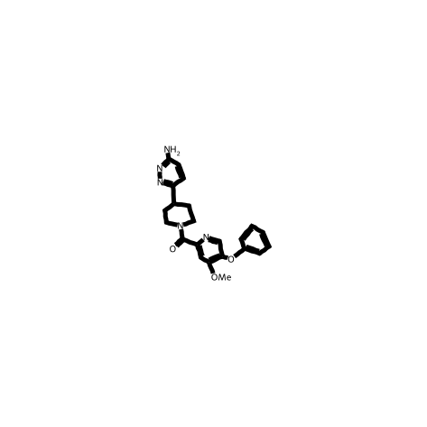 COc1cc(C(=O)N2CCC(c3ccc(N)nn3)CC2)ncc1Oc1ccccc1